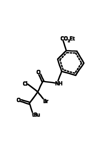 CCOC(=O)c1cccc(NC(=O)C(Cl)(Br)C(=O)C(C)(C)C)c1